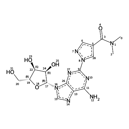 CN(C)C(=O)c1cnn(-c2nc(N)c3ncn([C@@H]4O[C@H](CO)[C@@H](O)[C@H]4O)c3n2)c1